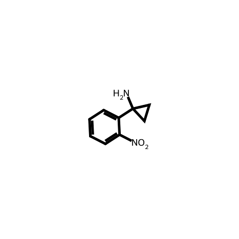 NC1(c2ccccc2[N+](=O)[O-])CC1